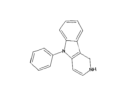 C1=Cc2c(c3ccccc3n2-c2ccccc2)CN1